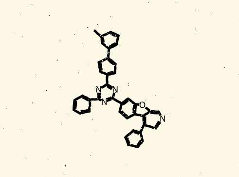 Cc1cccc(-c2ccc(-c3nc(-c4ccccc4)nc(-c4ccc5c(c4)oc4cncc(-c6ccccc6)c45)n3)cc2)c1